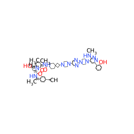 C#Cc1ccc([C@H](C)NC(=O)[C@@H]2C[C@@H](O)CN2C(=O)[C@@H](NC(=O)[C@H]2CCC3(CC2)C[C@H](N2CCN(c4cnc(N5CCN(c6cc(-c7ccccc7O)nnc6NCC)CC5)nc4)CC2)C3)C(C)(C)C)cc1